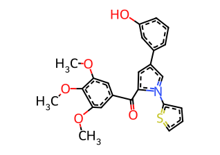 COc1cc(C(=O)c2cc(-c3cccc(O)c3)cn2-c2cccs2)cc(OC)c1OC